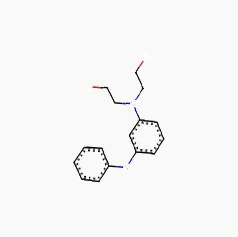 OCCN(CCO)c1cccc(Nc2ccccc2)c1